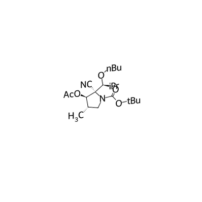 CCCCO[C@@H](C(C)C)[C@]1(C#N)[C@H](OC(C)=O)[C@@H](C)CN1C(=O)OC(C)(C)C